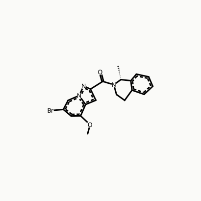 COc1cc(Br)cn2nc(C(=O)N3CCc4ccccc4[C@H]3C)cc12